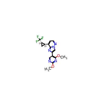 COc1ncc(-c2cn3nccc([C@H]4C[C@@H]4C(F)(F)F)c3n2)c(OC)n1